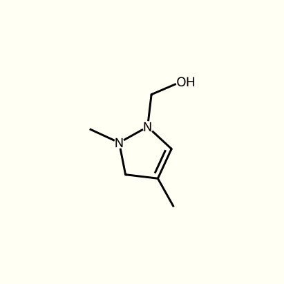 CC1=CN(CO)N(C)C1